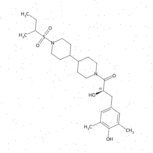 CCC(C)S(=O)(=O)N1CCC(C2CCN(C(=O)[C@H](O)Cc3cc(C)c(O)c(C)c3)CC2)CC1